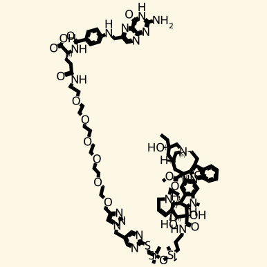 CC[C@]1(O)C[C@@H]2C[N@@](CCc3c([nH]c4ccccc34)[C@@](C(=O)OC)(c3cc4c(cc3OC)N(C)[C@H]3[C@@](O)(C(=O)NCCC[Si](C)(C)O[Si](C)(C)CSc5ncc(Cn6cc(COCCOCCOCCOCCOCCOCCNC(=O)CC[C@H](NC(=O)c7ccc(NCc8cnc9nc(N)[nH]c(=O)c9n8)cc7)C(=O)O)nn6)cn5)[C@H](O)[C@]5(C)C=CCN6CC[C@]43[C@@H]65)C2)C1